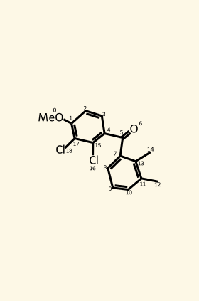 COc1ccc(C(=O)c2cccc(C)c2C)c(Cl)c1Cl